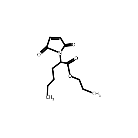 CCCCC(C(=O)OCCC)N1C(=O)C=CC1=O